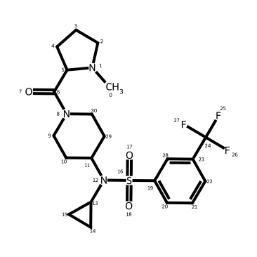 CN1CCCC1C(=O)N1CCC(N(C2CC2)S(=O)(=O)c2cccc(C(F)(F)F)c2)CC1